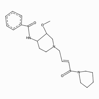 COC1CN(C/C=C/C(=O)N2CCCCC2)CCC1NC(=O)c1ccccc1